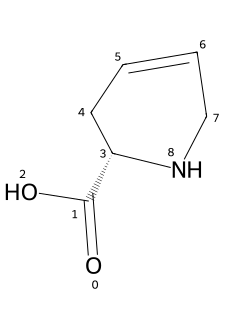 O=C(O)[C@@H]1CC=CCN1